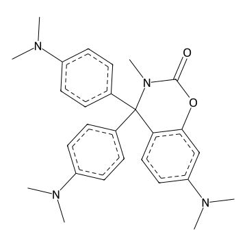 CN(C)c1ccc(C2(c3ccc(N(C)C)cc3)c3ccc(N(C)C)cc3OC(=O)N2C)cc1